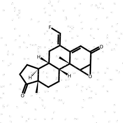 C[C@]12CC[C@@H]3[C@@H](CC(=CF)C4=CC(=O)C5OC5[C@@]43C)[C@@H]1CCC2=O